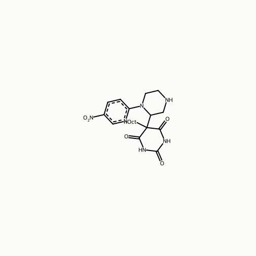 CCCCCCCCC1(C2CNCCN2c2ccc([N+](=O)[O-])cn2)C(=O)NC(=O)NC1=O